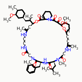 C=C1CC[C@@H]2CC[C@@H](C)[C@@](O)(O2)C(=O)C(=O)N2CCCC[C@H]2C(=O)O[C@H]([C@H](C)C[C@@H]2CC[C@@H](C)[C@H](OC)C2)CC(=C)NCCNC(=O)CN(C)C(=O)[C@H](Cc2ccccc2)NC(=O)[C@H](CC(C)C)N(C)C(=O)CN1